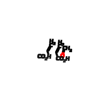 C=CC(=O)O.C=CC(=O)O.C=O